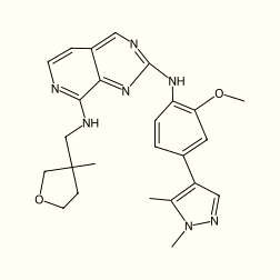 COc1cc(-c2cnn(C)c2C)ccc1Nc1ncc2ccnc(NCC3(C)CCOC3)c2n1